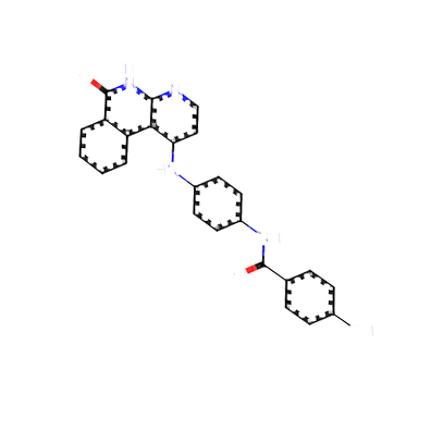 Cc1ccc(C(=O)Nc2ccc(Nc3ccnc4[nH]c(=O)c5ccccc5c34)cc2)cc1